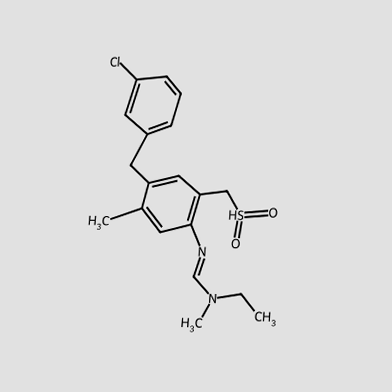 CCN(C)C=Nc1cc(C)c(Cc2cccc(Cl)c2)cc1C[SH](=O)=O